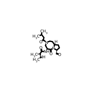 CN[C@@H](C)C(=O)N[C@H]1CN(C(=O)CC(C)C)CC[C@H]2CC[C@@H](C=O)N2C1=O